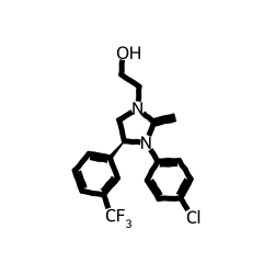 C=C1N(CCO)C[C@H](c2cccc(C(F)(F)F)c2)N1c1ccc(Cl)cc1